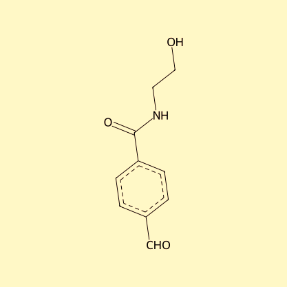 O=Cc1ccc(C(=O)NCCO)cc1